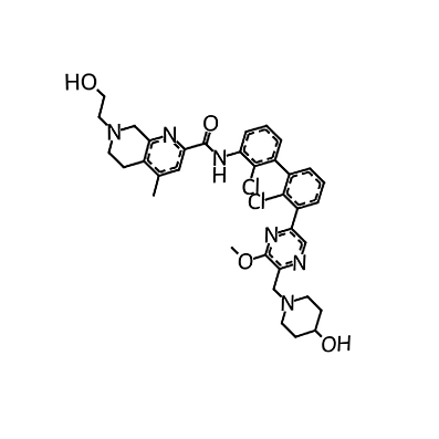 COc1nc(-c2cccc(-c3cccc(NC(=O)c4cc(C)c5c(n4)CN(CCO)CC5)c3Cl)c2Cl)cnc1CN1CCC(O)CC1